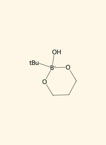 CC(C)(C)[B-]1(O)OCCCO1